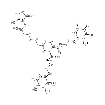 C[C@H]1[C@@H](O)[C@H](O)[C@H](OCCNC(=O)C2CCN(CCCCCC(=O)ON3C(=O)CCC3=O)C[C@@H]2C(=O)NCCO[C@@H]2O[C@@H](C)[C@@H](O)[C@@H](O)[C@@H]2O)O[C@H]1C